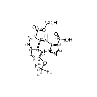 CCOC(=O)c1cnc2ccc(OC(F)(F)F)cc2c1Nc1[nH]ncc1C(=O)O